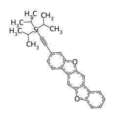 CC(C)[Si](C#Cc1ccc2c(c1)oc1cc3c(cc12)oc1ccccc13)(C(C)C)C(C)C